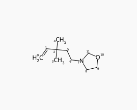 C=CC(C)(C)CCN1CCOC1